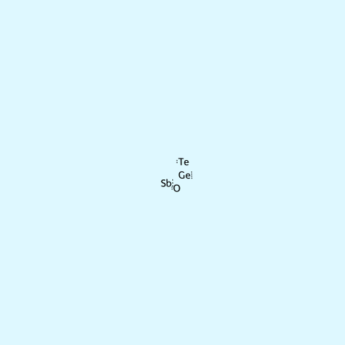 [Ge].[O].[Sb].[Te]